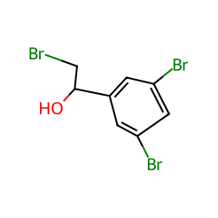 OC(CBr)c1cc(Br)cc(Br)c1